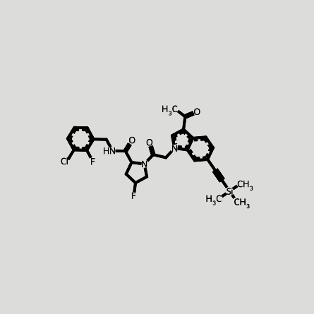 CC(=O)c1cn(CC(=O)N2CC(F)CC2C(=O)NCc2cccc(Cl)c2F)c2cc(C#C[Si](C)(C)C)ccc12